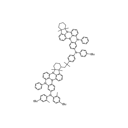 Cc1cc(C(C)(C)C)ccc1N(c1ccc2c(c1)N(c1ccccc1)c1cccc3c1B2c1cccc2c1N3C1(C)CCCC(CC(C)(C)c3ccc(N(c4ccc(C(C)(C)C)cc4)c4ccc5c(c4)N(c4ccccc4)c4cccc6c4B5c4cccc5c4N6C4(C)CCCCC54C)cc3)C21C)c1ccc(C(C)(C)C)cc1C